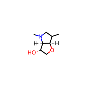 CC1CN(C)[C@H]2[C@@H]1OC[C@@H]2O